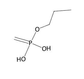 C=P(O)(O)OCCC